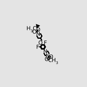 CC1(OC(=O)N2CCC(COc3c(F)cc(N4CCN(S(C)(=O)=O)CC4)cc3F)CC2)CC1